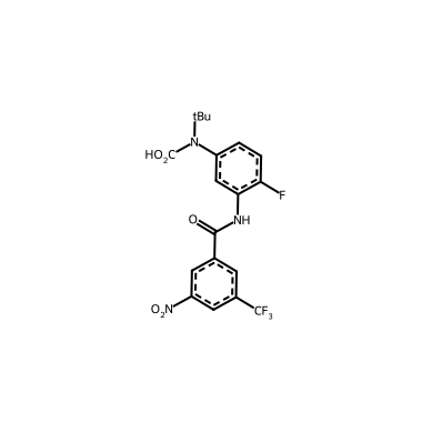 CC(C)(C)N(C(=O)O)c1ccc(F)c(NC(=O)c2cc([N+](=O)[O-])cc(C(F)(F)F)c2)c1